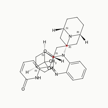 CC1(C)[C@H]2CC[C@@H](CCN3[C@@H]4CCC[C@H]3C[C@@H](n3c(=O)c(-c5cccc(=O)[nH]5)nc5ccccc53)C4)[C@@H]1C2